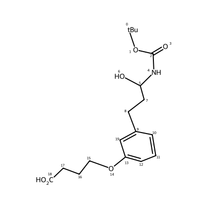 CC(C)(C)OC(=O)NC(O)CCc1cccc(OCCCC(=O)O)c1